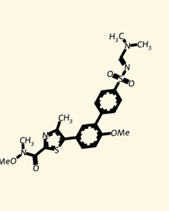 COc1ccc(-c2sc(C(=O)N(C)OC)nc2C)cc1-c1ccc(S(=O)(=O)/N=C/N(C)C)cc1